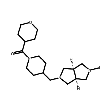 O=C(C1CCOCC1)N1CCC(CN2C[C@H]3CN(I)C[C@H]3C2)CC1